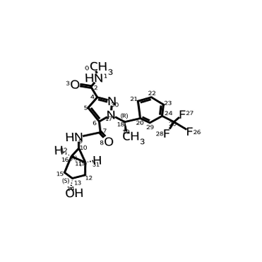 CNC(=O)c1cc(C(=O)NC2[C@H]3C[C@H](O)C[C@@H]23)n([C@H](C)c2cccc(C(F)(F)F)c2)n1